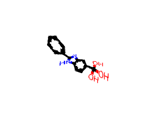 OC(O)(O)c1ccc2[nH]c(-c3ccccc3)nc2c1